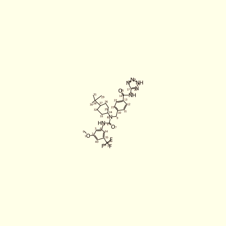 COc1cc(NC(=O)N(Cc2ccc(C(=O)Nc3nn[nH]n3)cc2)C2CCC(C(C)(C)C)CC2)cc(C(F)(F)F)c1